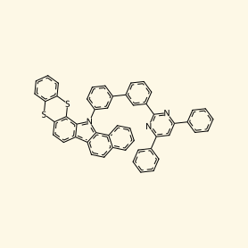 c1ccc(-c2cc(-c3ccccc3)nc(-c3cccc(-c4cccc(-n5c6c7c(ccc6c6ccc8ccccc8c65)Sc5ccccc5S7)c4)c3)n2)cc1